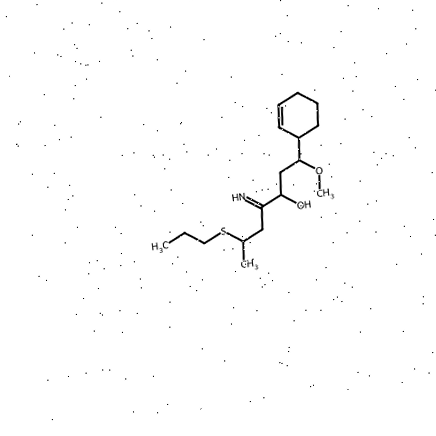 CCCSC(C)CC(=N)C(O)CC(OC)C1C=CCCC1